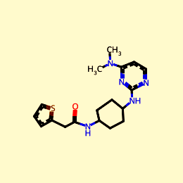 CN(C)c1ccnc(NC2CCC(NC(=O)Cc3cccs3)CC2)n1